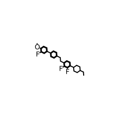 CCC1CCC(c2ccc(CCc3ccc(-c4ccc(OC)c(F)c4)cc3)c(F)c2F)CC1